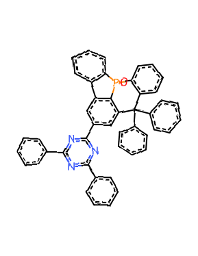 O=P12c3ccccc3-c3cc(-c4nc(-c5ccccc5)nc(-c5ccccc5)n4)cc(c31)C(c1ccccc1)(c1ccccc1)c1ccccc12